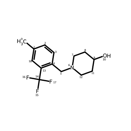 Cc1ccc(CN2CCC(O)CC2)c(C(F)(F)F)c1